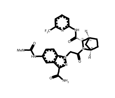 CNC(=O)Nc1ccc2c(c1)c(C(N)=O)nn2CC(=O)N1[C@@H]2CC[C@@H](C2)[C@H]1C(=O)Nc1cccc(C(F)(F)F)n1